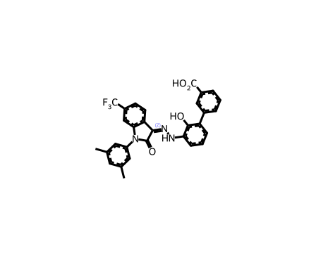 Cc1cc(C)cc(N2C(=O)/C(=N\Nc3cccc(-c4cccc(C(=O)O)c4)c3O)c3ccc(C(F)(F)F)cc32)c1